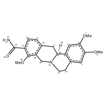 COc1cc2c(cc1OC)[C@@H]1Cc3ccc(C(N)=O)c(OC)c3CN1CC2